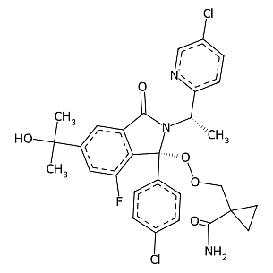 C[C@@H](c1ccc(Cl)cn1)N1C(=O)c2cc(C(C)(C)O)cc(F)c2[C@]1(OOCC1(C(N)=O)CC1)c1ccc(Cl)cc1